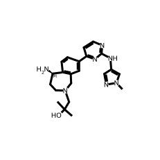 Cn1cc(Nc2nccc(-c3ccc4c(c3)CN(CC(C)(C)O)CC[C@H]4N)n2)cn1